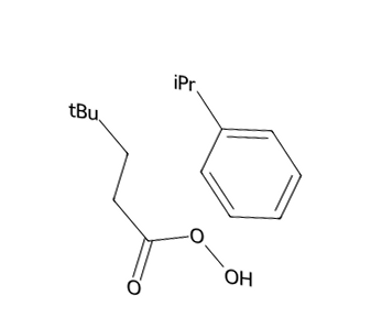 CC(C)(C)CCC(=O)OO.CC(C)c1ccccc1